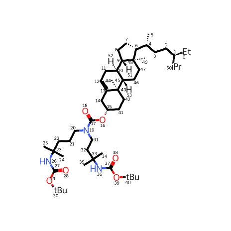 CC[C@H](CC[C@@H](C)[C@H]1CC[C@H]2[C@@H]3CC=C4C[C@@H](OC(=O)N(CCCC(C)(C)NC(=O)OC(C)(C)C)CCC(C)(C)NC(=O)OC(C)(C)C)CC[C@]4(C)[C@H]3CC[C@]12C)C(C)C